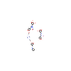 COc1cc(-c2nc3ccccc3s2)ccc1OCCCN1CCN(CCCOc2cc(C3CC(c4cc(OC)c(OC)c(OC)c4)=NN3C(C)=O)ccc2OC)CC1.COc1ccc(C2CC(c3cc(OC)c(OC)c(OC)c3)=NN2C(C)=O)cc1O